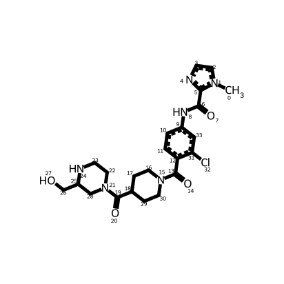 Cn1ccnc1C(=O)Nc1ccc(C(=O)N2CCC(C(=O)N3CCNC(CO)C3)CC2)c(Cl)c1